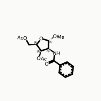 CO[C@H]1O[C@H](COC(C)=O)[C@H](OC(C)=O)[C@@H]1NC(=O)c1ccccc1